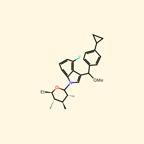 CC[C@H]1OC(n2cc(C(OC)c3ccc(C4CC4)cc3)c3c(F)cccc32)[C@H](C)[C@@H](C)[C@@H]1C